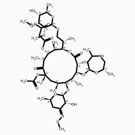 CON=C1C[C@@H](C)O[C@@H](O[C@@H]2[C@@H](C)[C@H](O[C@H]3CC(C)NC[C@H](C)O3)[C@@H](C)C(=O)O[C@H]([C@@H](C)CO[C@@H]3O[C@H](C)[C@@H](O)[C@@H](OC)[C@H]3OC)[C@H](C)[C@@H](OC(=O)CC(C)C)[C@@H](C)C(=O)[C@@](C)(OC(C)=O)C[C@@H]2C)[C@@H]1O